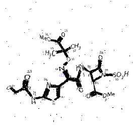 COC(=O)[C@H]1[C@@H](NC(=O)/C(=N\OC(C)(C)C(=O)OC)c2csc(NC(=O)CCl)n2)C(=O)N1S(=O)(=O)O